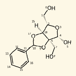 OC[C@@H]1O[C@H](O)[C@@]2(CO)OC(c3ccccc3)O[C@@H]12